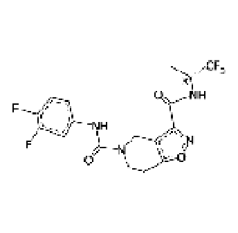 C[C@@H](NC(=O)c1noc2c1CN(C(=O)Nc1ccc(F)c(F)c1)CC2)C(F)(F)F